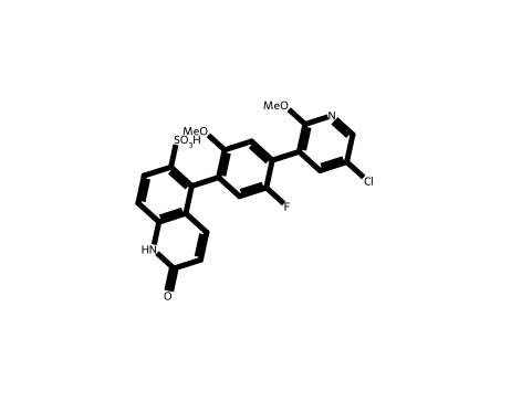 COc1cc(-c2cc(Cl)cnc2OC)c(F)cc1-c1c(S(=O)(=O)O)ccc2[nH]c(=O)ccc12